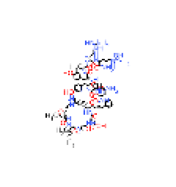 CC[C@H](C)[C@@H]1NC(=O)[C@@H](CC(C)=O)CCCn2nncc2CCC[C@@H](C(=O)C[C@@H](Cc2ccccc2)C(=O)NC(CC(N)=O)C(=O)N[C@@H](C)C(=O)NC(Cc2ccc(O)cc2)C(=O)N[C@@H](Cc2ccc(O)cc2)C(=O)NC(C)C(=O)N[C@@H](CCCNC(=N)N)C(=O)NC(CCCNC(=N)N)C(N)=O)NC(=O)[C@H](CC(=O)O)NC(=O)CNC1=O